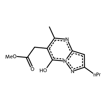 CCCc1cc2nc(C)c(CC(=O)OC)c(O)n2n1